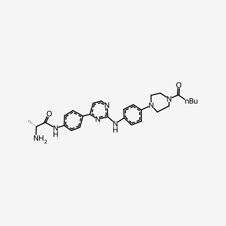 CCCCC(=O)N1CCN(c2ccc(Nc3nccc(-c4ccc(NC(=O)[C@@H](C)N)cc4)n3)cc2)CC1